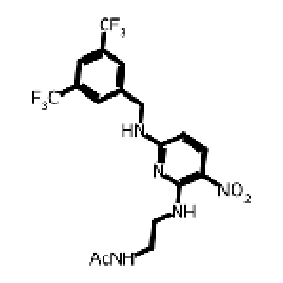 CC(=O)NCCNc1nc(NCc2cc(C(F)(F)F)cc(C(F)(F)F)c2)ccc1[N+](=O)[O-]